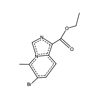 CCOC(=O)c1ncn2c(C)c(Br)ccc12